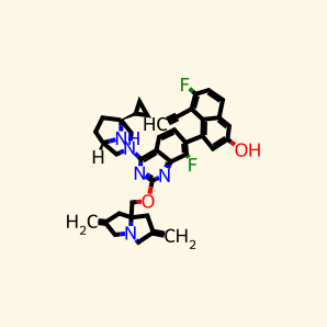 C#Cc1c(F)ccc2cc(O)cc(-c3ccc4c(N5C[C@@H]6CC[C@](C7CC7)(C5)N6)nc(OCC56CC(=C)CN5CC(=C)C6)nc4c3F)c12